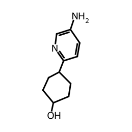 Nc1ccc(C2CCC(O)CC2)nc1